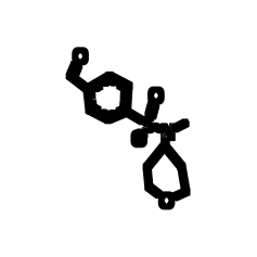 CN(C1CCOCC1)S(=O)(=O)c1ccc(C=O)cc1